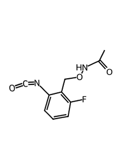 CC(=O)NOCc1c(F)cccc1N=C=O